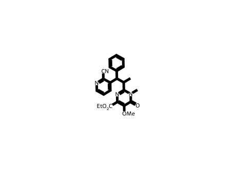 CCOC(=O)c1nc(C(C)C(c2ccccc2)c2cccnc2C#N)n(C)c(=O)c1OC